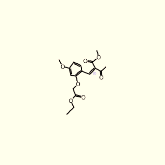 CCOC(=O)COc1cc(OC)ccc1/C=C(/C(C)=O)C(=O)OC